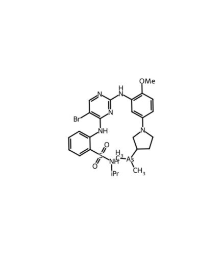 COc1ccc(N2CCC([As](C)C)C2)cc1Nc1ncc(Br)c(Nc2ccccc2S(=O)(=O)NC(C)C)n1